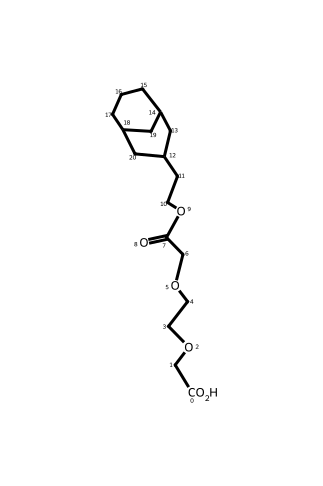 O=C(O)COCCOCC(=O)OCCC1CC2CCCC(C2)C1